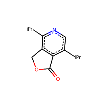 CC(C)c1cnc(C(C)C)c2c1C(=O)OC2